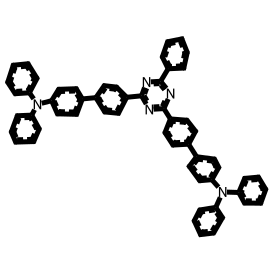 c1ccc(-c2nc(-c3ccc(-c4ccc(N(c5ccccc5)c5ccccc5)cc4)cc3)nc(-c3ccc(-c4ccc(N(c5ccccc5)c5ccccc5)cc4)cc3)n2)cc1